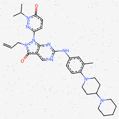 C=CCn1c(=O)c2cnc(Nc3ccc(N4CCC(N5CCCCC5)CC4)c(C)c3)nc2n1-c1ccc(=O)n(C(C)C)n1